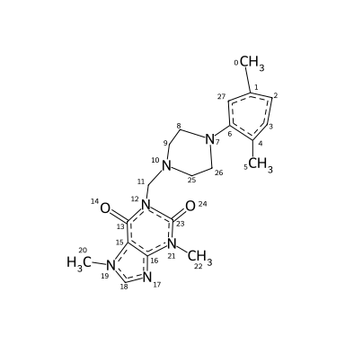 Cc1ccc(C)c(N2CCN(Cn3c(=O)c4c(ncn4C)n(C)c3=O)CC2)c1